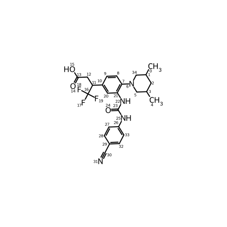 CC1CC(C)CN(c2ccc(C(CC(=O)O)C(F)(F)F)cc2NC(=O)Nc2ccc(C#N)cc2)C1